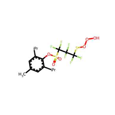 Cc1cc(C(C)C)c(OS(=O)(=O)C(F)(F)C(F)(F)C(F)(F)SOOO)c(C(C)C)c1